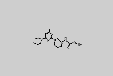 CC(C)(C)OC(=O)N[C@H]1CCCN(c2cc(I)cc(N3CCOCC3)n2)C1